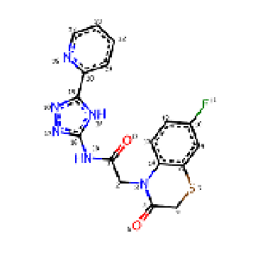 O=C(CN1C(=O)CSc2cc(F)ccc21)Nc1nnc(-c2ccccn2)[nH]1